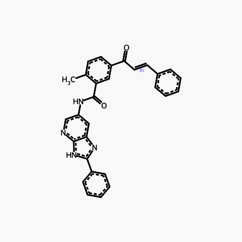 Cc1ccc(C(=O)/C=C/c2ccccc2)cc1C(=O)Nc1cnc2[nH]c(-c3ccccc3)nc2c1